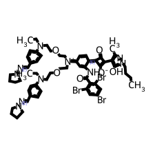 CCCCn1nc(C)c(C2=C([O-])/C(=C3/C=CC(=[N+](CCOCCN(CC)c4ccc(/C=N/N5CCCC5)cc4)CCOCCN(CC)c4ccc(/C=N/N5CCCC5)cc4)C=C3NC(=O)c3c(Br)cc(Br)cc3Br)C2=O)c1O